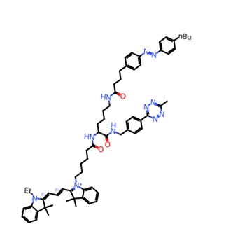 CCCCc1ccc(N=Nc2ccc(CCCC(=O)NCCCCC(NC(=O)CCCCC[N+]3=C(/C=C/C=C4/N(CC)c5ccccc5C4(C)C)C(C)(C)c4ccccc43)C(=O)NCc3ccc(-c4nnc(C)nn4)cc3)cc2)cc1